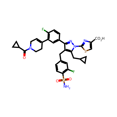 NS(=O)(=O)c1ccc(Cc2c(-c3ccc(F)c(C4=CCN(C(=O)C5CC5)CC4)c3)nn(-c3nc(C(=O)O)cs3)c2CC2CC2)cc1F